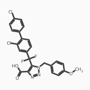 COc1ccc(Cn2nnc(C(=O)O)c2C(F)(F)c2ccc(-c3ccc(Cl)cc3)c(Cl)c2)cc1